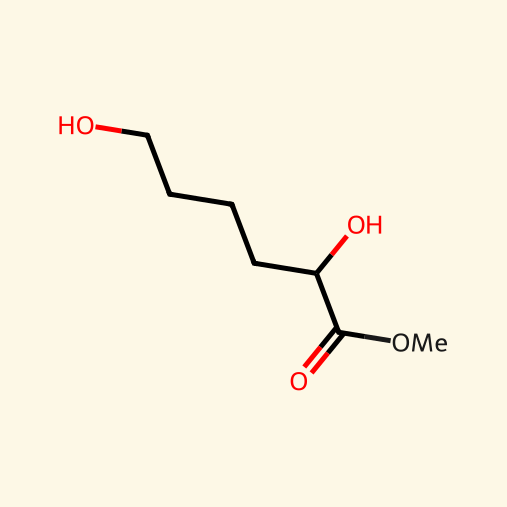 COC(=O)C(O)CCCCO